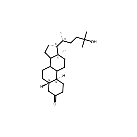 C[C@H](CCC(C)(C)O)[C@H]1CCC2C3CC[C@H]4CC(=O)CC[C@@H]4C3CC[C@@]21C